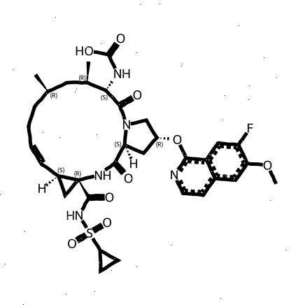 COc1cc2ccnc(O[C@@H]3C[C@H]4C(=O)N[C@]5(C(=O)NS(=O)(=O)C6CC6)C[C@H]5C=CCC[C@@H](C)C[C@@H](C)[C@H](NC(=O)O)C(=O)N4C3)c2cc1F